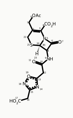 CC(=O)OCC1=C(C(=O)O)N2C(=O)C(NC(=O)Cc3nc(CC(=O)O)no3)[C@H]2SC1